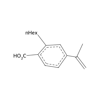 C=C(C)c1ccc(C(=O)O)c(CCCCCC)c1